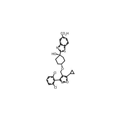 O=C(O)c1ccc2sc([C@]3(O)CC[C@@H](OCc4c(-c5c(Cl)cccc5Cl)noc4C4CC4)CC3)nc2c1